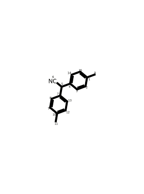 Cc1ccc(C(C#N)c2ccc(C)cc2)cc1